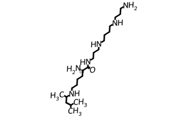 CC(C)CC(C)NCCCC[C@H](N)C(=O)NCCCNCCCCNCCCN